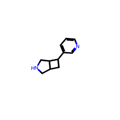 c1cncc(C2CC3CNCC32)c1